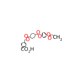 C=CC(=O)Oc1ccc(OC(=O)C2CCC(C(=O)OCc3ccc(C(=O)O)cc3)CC2)cc1